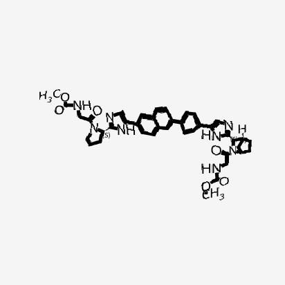 COC(=O)NCC(=O)N1CCC[C@H]1c1ncc(-c2ccc3cc(-c4ccc(-c5cnc([C@@H]6[C@H]7CCC(C7)N6C(=O)CNC(=O)OC)[nH]5)cc4)ccc3c2)[nH]1